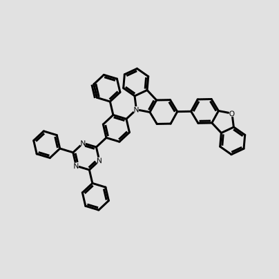 c1cccc(-c2cc(-c3nc(-c4ccccc4)nc(-c4ccccc4)n3)ccc2-n2c3c(c4ccccc42)C=C(c2ccc4oc5ccccc5c4c2)CC3)c#1